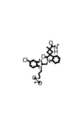 CNC(=O)C1(C)CC2(C1)C(=O)N(Cc1nc3cc(Cl)ccc3n1CCCS(C)(=O)=O)c1ccccc12